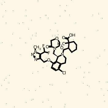 Cn1nnc(COc2ccc(Cl)c3c2[C@@H](CN2CCOCC2=O)N(C(=O)C2CCCCC2(C)C(=O)O)CC3)c1C(F)F